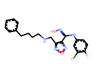 O/N=C(/Nc1ccc(F)c(Cl)c1)c1nonc1CNCCCCc1ccccc1